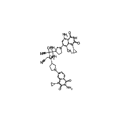 Cc1c(N2CCC(C(N)(NC(CC#N)C3CCN(c4ccc5c(=O)n(N)c(=O)n(C6CC6)c5c4)C3)C(C)(C)C#N)C2)cc(N)c2c(=O)[nH]c(=O)n(C3CC3)c12